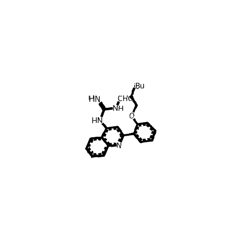 CCC(C)CCOc1ccccc1-c1cc(NC(=N)NC=O)c2ccccc2n1